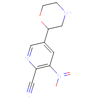 N#Cc1ncc(C2CNCCO2)cc1[N+](=O)[O-]